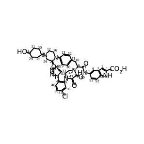 O=C(O)c1cc2cc(NC(=O)C(Cc3ccc(N4CCN(C5CCC(O)CC5)CC4=O)cc3)N3CCN(c4cc(Cl)ccc4-n4cnnn4)C(=O)C3=O)ccc2[nH]1